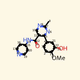 COc1ccc(-c2nc(C)ncc2C(=O)Nc2ccncc2)cc1O